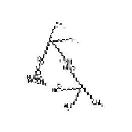 CCCCCCCCC(CCCCCCCCC(=O)O)C(CCCCCCCC)CCCCCCCCC(=O)NCCNC(=O)CCCCCCCCC(CCCCCCCC)C(CCCCCCCC)CCCCCCCCC(=O)OCCOc1ccc(C(=O)C(C)(C)O)cc1